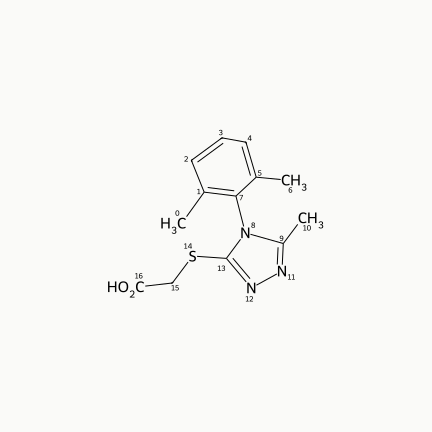 Cc1cccc(C)c1-n1c(C)nnc1SCC(=O)O